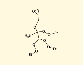 CCOOC(OOCC)C([SiH3])(OCC1CO1)OOCC